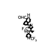 O=CC1NC=Cc2c1cccc2-n1ncc(C2(Nc3ccnc(C(F)(F)F)c3)CC2)c1C(F)(F)F